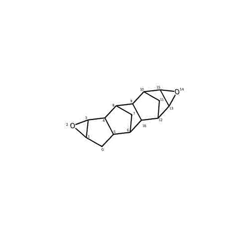 C1C2OC2C2C1C1CC2C2C3CC(C4OC34)C12